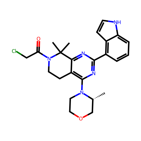 C[C@@H]1COCCN1c1nc(-c2cccc3[nH]ccc23)nc2c1CCN(C(=O)CCl)C2(C)C